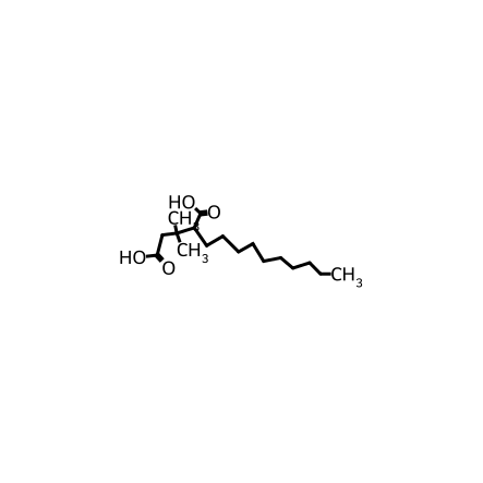 CCCCCCCCCCC(C(=O)O)C(C)(C)CC(=O)O